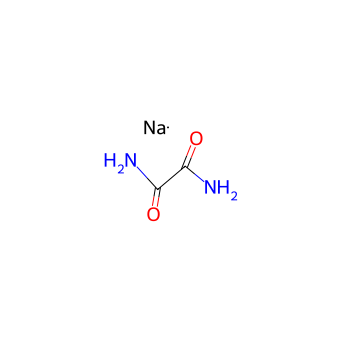 NC(=O)C(N)=O.[Na]